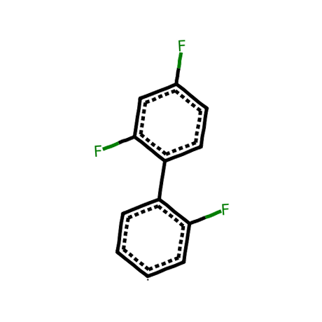 Fc1ccc(-c2cc[c]cc2F)c(F)c1